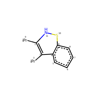 CC(C)C1=C(C(C)C)c2ccccc2SN1